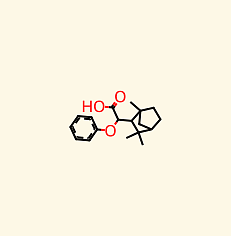 CC12CCC(C1)C(C)(C)C2C(Oc1ccccc1)C(=O)O